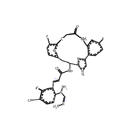 N/N=C\N(N)c1ccc(Cl)c(F)c1/C=C/C(=O)NC1Cc2ccc(F)c(n2)CCC(=O)Nc2cc(F)ccc2-c2c[nH]c1n2